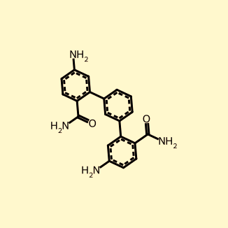 NC(=O)c1ccc(N)cc1-c1cccc(-c2cc(N)ccc2C(N)=O)c1